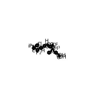 Cc1c(C(=O)O)c(-c2cc(F)cc(N3CCN(c4ccc(NS(=O)(=O)c5ccc(NC(CCN6CCC(COP(=O)(O)O)CC6)CSc6ccccc6)c(S(=O)(=O)C(F)(F)F)c5)cc4)CC3)c2)c(-c2ccc(Cl)cc2)n1C(C)C